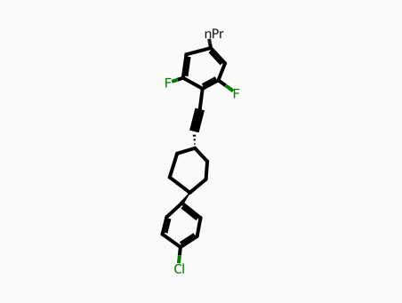 CCCc1cc(F)c(C#C[C@H]2CC[C@H](c3ccc(Cl)cc3)CC2)c(F)c1